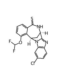 FC(F)Oc1cccc2c1[C@H]1C[C@@H](NC2=S)c2nc3ccc(Cl)cc3n21